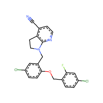 N#Cc1ccnc2c1CCN2Cc1cc(Cl)ccc1OCc1ccc(Cl)cc1F